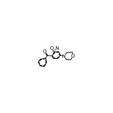 O=C(c1ccccc1)c1ccc(N2CCOCC2)cc1[N+](=O)[O-]